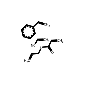 C=CC#N.C=CCOC(=O)C=C.C=Cc1ccccc1